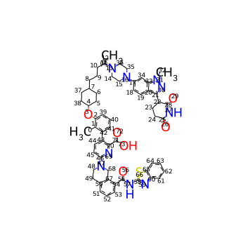 Cc1c(OC2CCC(CCC[C@@H](C)N3CCN(c4ccc5c(C6CCC(=O)NC6=O)nn(C)c5c4)CC3)CC2)cccc1-c1ccc(N2CCc3cccc(C(=O)Nc4nc5ccccc5s4)c3C2)nc1C(=O)O